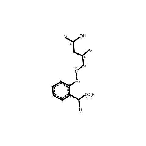 CCC(C(=O)O)c1ccccc1OOCC(C)CC(C)O